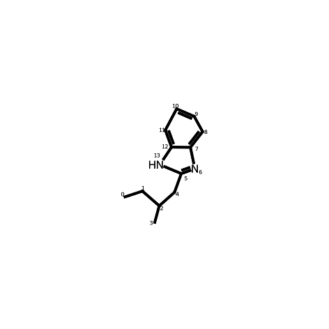 CCC(C)Cc1nc2ccccc2[nH]1